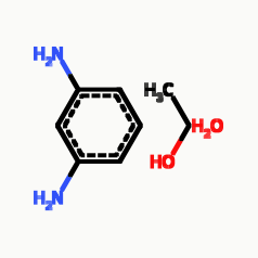 CCO.Nc1cccc(N)c1.O